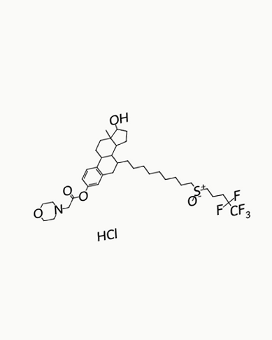 CC12CCC3c4ccc(OC(=O)CN5CCOCC5)cc4CC(CCCCCCCCC[S+]([O-])CCCC(F)(F)C(F)(F)F)C3C1CCC2O.Cl